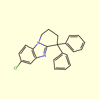 Clc1ccc2c(c1)nc1n2CCCC1(c1ccccc1)c1ccccc1